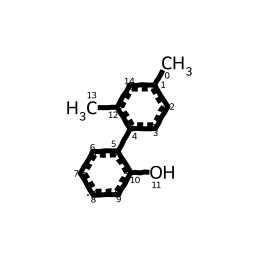 Cc1ccc(-c2cc[c]cc2O)c(C)c1